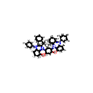 CC1(C)c2ccccc2-c2c1n1c3cc4c(cc3oc3cccc(c31)n2-c1ccccc1)oc1cccc2c1n4c1ccccc1n2-c1ccccc1